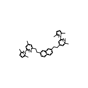 Cc1cc(CCc2ccc3ccc(CCc4cc(C)nc(-n5c(C)ccc5C)c4)cc3c2)nc(-n2c(C)ccc2C)c1